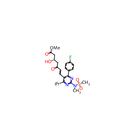 COC(=O)C[C@H](O)CC(=O)/C=C/c1c(-c2ccc(F)cc2)nc(N(C)S(C)(=O)=O)nc1C(C)C